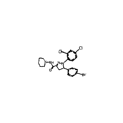 O=C(NN1CCCCC1)C1=NN(c2ccc(Cl)cc2Cl)C(c2ccc(Br)cc2)C1